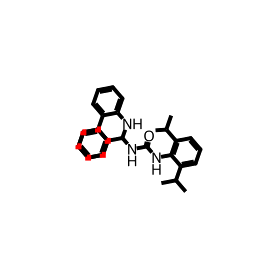 CC(C)c1cccc(C(C)C)c1NC(=O)NC(Nc1ccccc1-c1ccccc1)C1CCCCC1